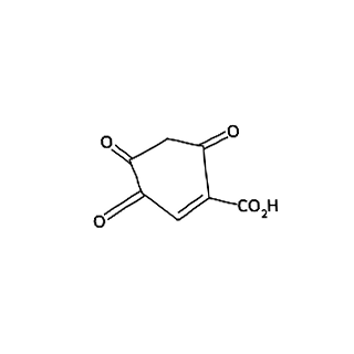 O=C(O)C1=CC(=O)C(=O)CC1=O